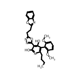 CCCCc1nc(O)c(-c2nnc(CCc3nc4ccccc4o3)o2)c(O)c1-c1c(OC)cccc1OC